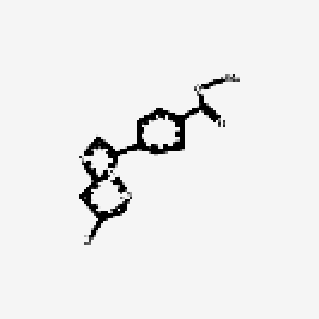 CC(C)(C)OC(=O)c1ccc(-c2cnc3cc(Cl)cnn23)cc1